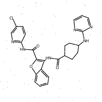 O=C(Nc1ccc(Cl)cn1)c1oc2ccccc2c1NC(=O)C1CCC(Nc2ncccn2)CC1